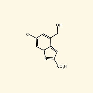 O=C(O)c1cc2c(CO)cc(Cl)cn2n1